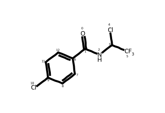 O=C(NC(Cl)C(F)(F)F)c1ccc(Cl)cc1